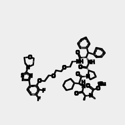 C[C@@H](C(=O)N[C@H](C(=O)N1CCC[C@H]1C(=O)N[C@H](C(=O)NCCOCCOCCOc1c(-c2csc(N3CCOCC3)n2)ccc(F)c1F)C(c1ccccc1)c1ccccc1)C1CCCCC1)N(C)C(=O)OC(C)(C)C